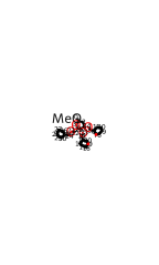 COC1C[C@@H](OCc2ccccc2)[C@H](OCc2ccccc2)[C@@H](COCc2ccccc2)O1